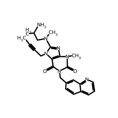 CC#CCn1c(N(C)CC(C)N)nc2c1c(=O)n(Cc1ccc3cccnc3c1)c(=O)n2C